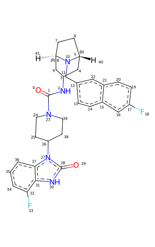 O=C(NC1C[C@H]2CC[C@H](C1)N2Cc1ccc2cc(F)ccc2c1)N1CCC(n2c(=O)[nH]c3c(F)cccc32)CC1